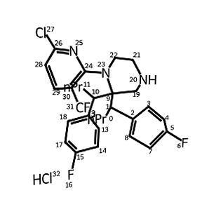 CCCC(c1ccc(F)cc1)C1(C(CCC)c2ccc(F)cc2)CNCCN1c1nc(Cl)ccc1C(F)(F)F.Cl